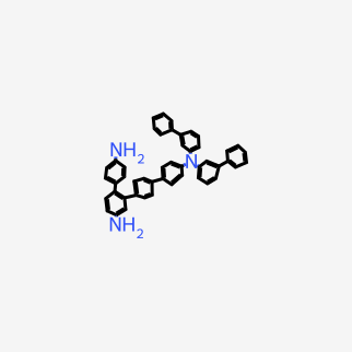 Nc1ccc(-c2ccc(N)cc2-c2ccc(-c3ccc(N(c4cccc(-c5ccccc5)c4)c4cccc(-c5ccccc5)c4)cc3)cc2)cc1